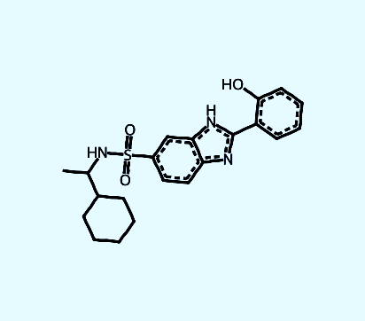 CC(NS(=O)(=O)c1ccc2nc(-c3ccccc3O)[nH]c2c1)C1CCCCC1